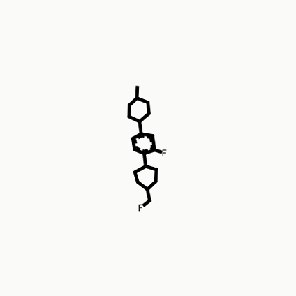 CC1CCC(c2ccc(C3CCC(CF)CC3)c(F)c2)CC1